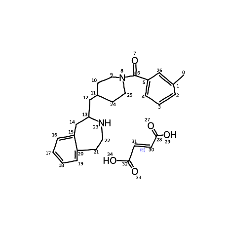 Cc1cccc(C(=O)N2CCC(CC3Cc4ccccc4CCN3)CC2)c1.O=C(O)/C=C/C(=O)O